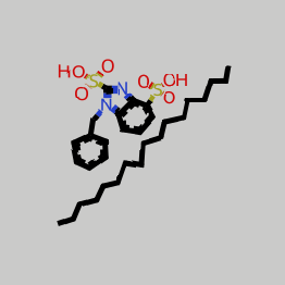 CCCCCCCCCCCCCCCCC.O=S(=O)(O)c1cccc2c1nc(S(=O)(=O)O)n2Cc1ccccc1